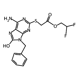 Nc1nc(SCC(=O)OCC(F)F)nc2c1nc(O)n2Cc1ccccc1